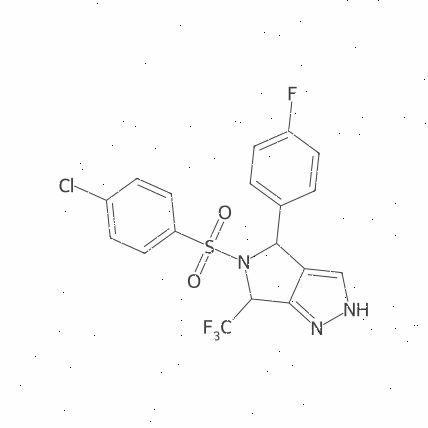 O=S(=O)(c1ccc(Cl)cc1)N1C(c2ccc(F)cc2)c2c[nH]nc2C1C(F)(F)F